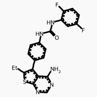 CCc1sc2ncnc(N)c2c1-c1ccc(NC(=O)Nc2cc(F)ccc2F)cc1